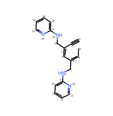 C#C/C(=C\C(=C/C)CNc1ccccn1)CNc1ccccn1